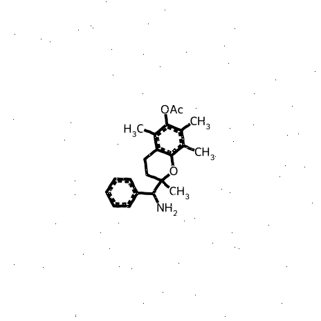 CC(=O)Oc1c(C)c(C)c2c(c1C)CCC(C)(C(N)c1ccccc1)O2